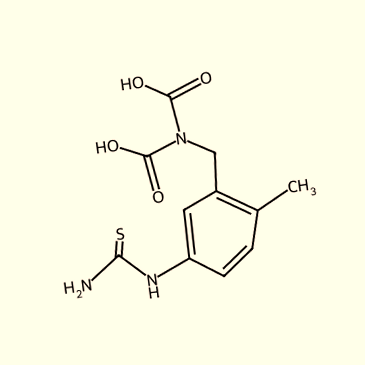 Cc1ccc(NC(N)=S)cc1CN(C(=O)O)C(=O)O